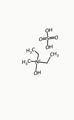 CC[N+](C)(O)CC.O=S(=O)(O)O